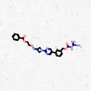 N=C(N)NC(=O)OCc1cccc(-c2cnc(N3CC(=NOCCOC(=O)c4ccccc4)C3)nc2)c1F